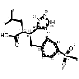 CC(C)C[C@H](C(=O)O)[C@H](Cc1ccc(S(C)(=O)=O)cc1)c1nn[nH]n1